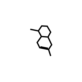 CC1=CCC2C(C)CCCC2C1